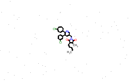 C/C=C\C=C/C1=C(C)C(=O)N(Cc2cnc(C3=CC=C(Cl)C=CC3)c(-c3cccc(Cl)c3)c2)C1=O